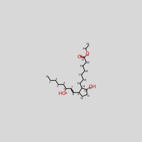 CCCCCC(O)C=CC1CCC(O)C1CCCCCCC(=O)OCC